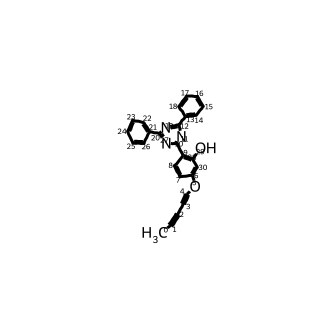 CC#CC#COc1ccc(-c2nc(-c3ccccc3)nc(-c3ccccc3)n2)c(O)c1